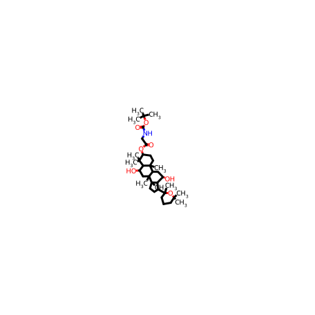 CC(C)(C)OC(=O)NCC(=O)OC1CCC2(C)C(C(O)CC3(C)C2CC(O)C2C(C4(C)CCCC(C)(C)O4)CCC23C)C1(C)C